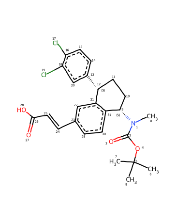 CN(C(=O)OC(C)(C)C)[C@H]1CC[C@@H](c2ccc(Cl)c(Cl)c2)c2cc(C=CC(=O)O)ccc21